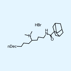 Br.CCCCCCCCCCCCCC(CCCNC(=O)C12CC3CC(CC(C3)C1)C2)N(C)C